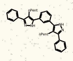 CCCCCc1c(-c2ccccc2)n[nH]c1-c1cccc(-c2[nH]nc(-c3ccccc3)c2CCCCC)c1